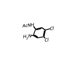 [CH2]C(=O)Nc1cc(Cl)c(Cl)cc1N